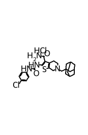 Cl.NC(=O)c1c(NC(=O)Nc2ccc(Cl)cc2)sc2c1CCN(CC13CC4CC(CC(C4)C1)C3)C2